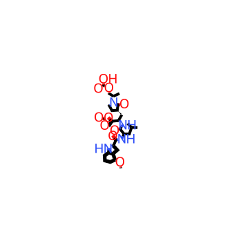 COc1cccc2[nH]c(C(=O)NC(CC(C)C)C(=O)NC(C[C@@H]3CCN(C(C)COC(=O)O)C3=O)c3coc(=O)o3)cc12